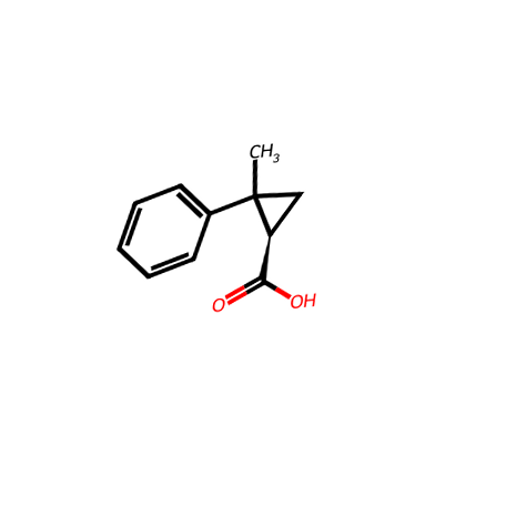 CC1(c2ccccc2)C[C@H]1C(=O)O